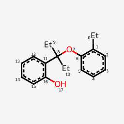 CCc1ccccc1OC(CC)(CC)c1ccccc1O